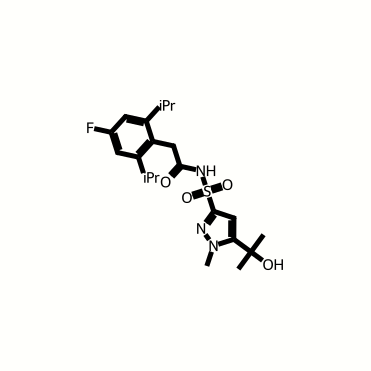 CC(C)c1cc(F)cc(C(C)C)c1CC(=O)NS(=O)(=O)c1cc(C(C)(C)O)n(C)n1